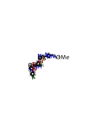 COCCNCc1ccc(-c2cc3nccc(Oc4ccc(NC(=O)c5c(OC)ccn(-c6ccc(F)cc6)c5=O)cc4F)c3s2)nc1